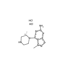 C[C@H]1CNCCN1c1nc(N)nc2cnn(C)c12.Cl.Cl